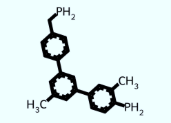 Cc1cc(-c2ccc(CP)cc2)cc(-c2ccc(P)c(C)c2)c1